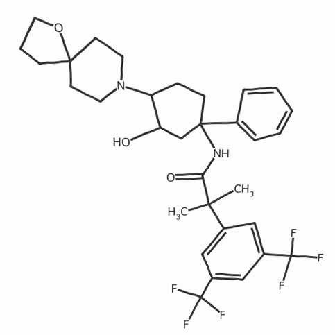 CC(C)(C(=O)NC1(c2ccccc2)CCC(N2CCC3(CCCO3)CC2)C(O)C1)c1cc(C(F)(F)F)cc(C(F)(F)F)c1